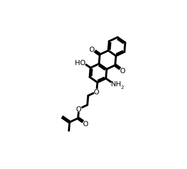 C=C(C)C(=O)OCCOc1cc(O)c2c(c1N)C(=O)c1ccccc1C2=O